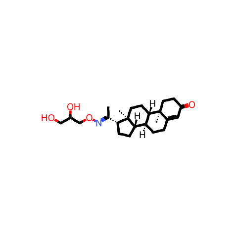 C/C(=N\OCC(O)CO)[C@H]1CC[C@H]2[C@@H]3CCC4=CC(=O)CC[C@]4(C)[C@H]3CC[C@]12C